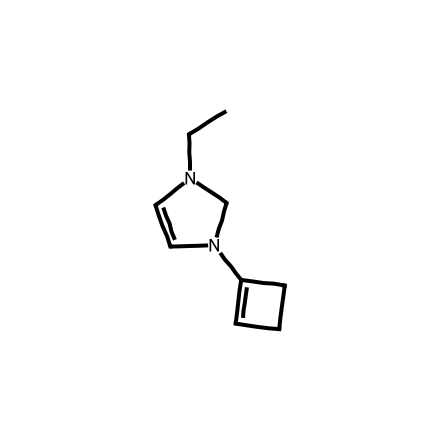 CCN1C=CN(C2=CCC2)C1